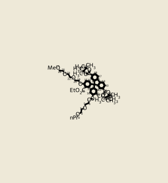 CCCOCCOCCOOc1ccc(C2(c3ccc(OCCOCCOCCOC)c(C(=O)OCC)c3)c3cc(B4OC(C)(C)C(C)(C)O4)ccc3-c3ccc(B4OC(C)(C)C(C)(C)O4)cc32)cc1C(=O)OCC